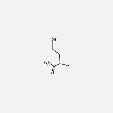 CC(CCS)C(N)=O